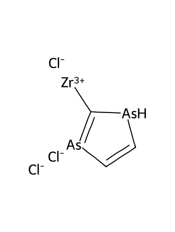 [Cl-].[Cl-].[Cl-].[Zr+3][C]1=[As]C=C[AsH]1